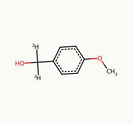 [2H]C([2H])(O)c1ccc(OC)cc1